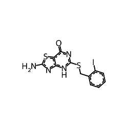 Nc1nc2[nH]c(SCc3ccccc3I)nc(=O)c2s1